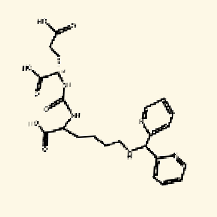 O=C(O)CC[C@H](NC(=O)NC(CCCCNC(c1ccccn1)c1ccccn1)C(=O)O)C(=O)O